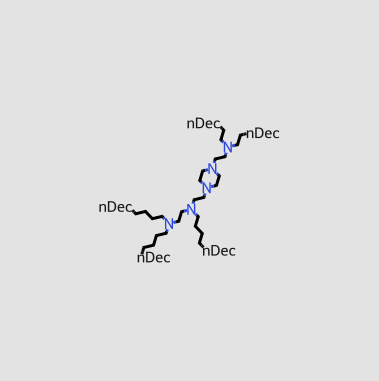 CCCCCCCCCCCCCCN(CCCCCCCCCCCCCC)CCN(CCCCCCCCCCCCCC)CCN1CCN(CCN(CCCCCCCCCCCC)CCCCCCCCCCCC)CC1